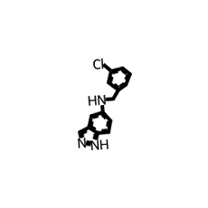 Clc1cccc(CNc2ccc3[nH]ncc3c2)c1